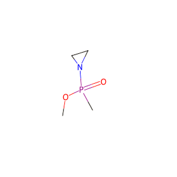 COP(C)(=O)N1CC1